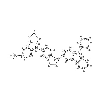 Nc1ccc2c(c1)C1CCCC1N2c1ccc2c(c1)CCN2c1ccc2c(c1)c1ccccc1n2-c1ccccc1